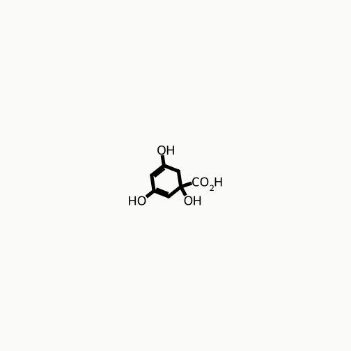 O=C(O)C1(O)C=C(O)C=C(O)C1